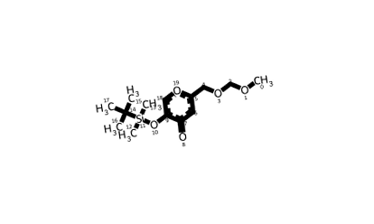 COCOCc1cc(=O)c(O[Si](C)(C)C(C)(C)C)co1